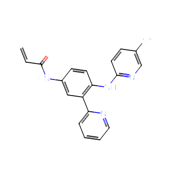 C=CC(=O)Nc1ccc(Nc2ccc(C(F)(F)F)cn2)c(-c2ccccn2)c1